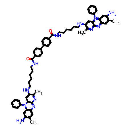 CC1=NC2=Nc3cc(C)c(N)cc3N(c3ccccc3)C2C=C1NCCCCCCNC(=O)c1ccc(-c2ccc(C(=O)NCCCCCCNc3cc4c(nc3C)nc3cc(C)c(N)cc3[n+]4-c3ccccc3)cc2)cc1